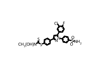 CN(O)C(=S)Sc1ccc(-c2cc(-c3ccc(F)c(Cl)c3)n(-c3ccc(S(N)(=O)=O)cc3)n2)cc1